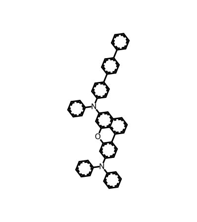 c1ccc(-c2ccc(-c3ccc(N(c4ccccc4)c4cc5c6c(cccc6c4)-c4ccc(N(c6ccccc6)c6ccccc6)cc4O5)cc3)cc2)cc1